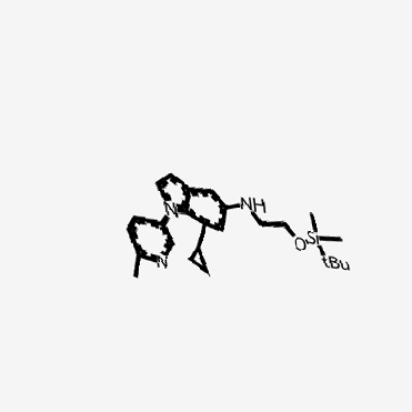 Cc1ccc(-n2ccc3cc(NCCO[Si](C)(C)C(C)(C)C)cc(C4CC4)c32)cn1